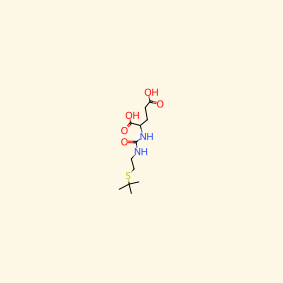 CC(C)(C)SCCNC(=O)NC(CCC(=O)O)C(=O)O